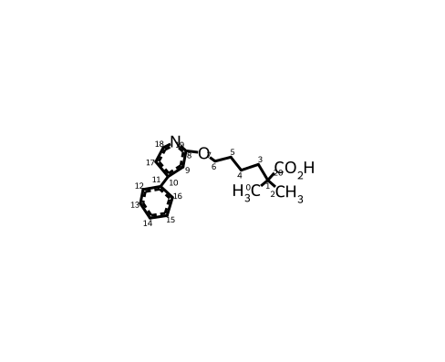 CC(C)(CCCCOc1cc(-c2ccccc2)ccn1)C(=O)O